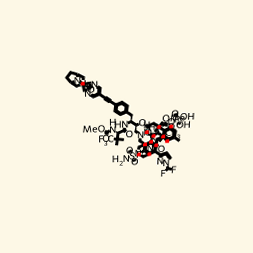 COC(=O)N[C@H](C(=O)N[C@@H](Cc1ccc(C#Cc2cnc(N3CC4CCC(C3)N4C3COC3)nc2)cc1)[C@H](CN(Cc1c(F)cc(-c2ccn(C(F)F)n2)cc1F)NC(=O)[C@@H](NC(=O)OC)C(C)(C)C(F)(F)F)OC(=O)CC(C)(C)c1c(CC(=O)N2CCN(S(N)(=O)=O)CC2)cc(C)cc1OP(=O)(O)O)C(C)(C)C(F)(F)F